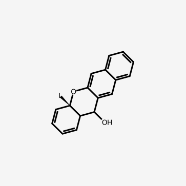 OC1c2cc3ccccc3cc2O[C@@]2(I)C=CC=CC12